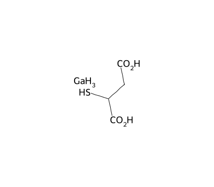 O=C(O)CC(S)C(=O)O.[GaH3]